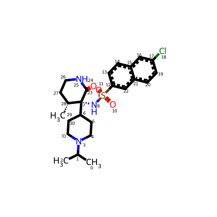 CC(C)N1CCC([C@]2(NS(=O)(=O)c3ccc4cc(Cl)ccc4c3)C(=O)NCC[C@H]2C)CC1